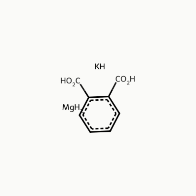 O=C(O)c1ccccc1C(=O)O.[KH].[MgH2]